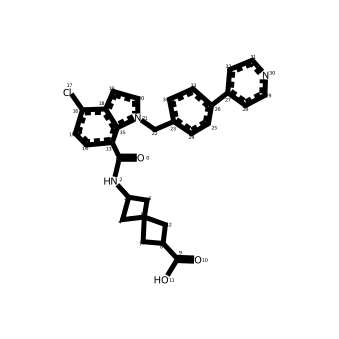 O=C(NC1CC2(C1)CC(C(=O)O)C2)c1ccc(Cl)c2ccn(Cc3ccc(-c4ccncc4)cc3)c12